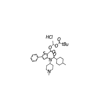 CC1CCC(C(=O)N(c2cc(-c3ccccc3)sc2C(=O)OC(C)OC(=O)C(C)(C)C)C2CCN(C)CC2)CC1.Cl